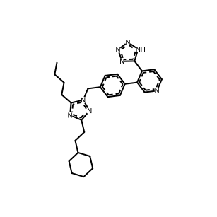 CCCCc1nc(CCC2CCCCC2)nn1Cc1ccc(-c2cnccc2-c2nnn[nH]2)cc1